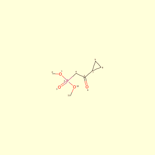 COP(=O)(CC(=O)C1CC1)OC